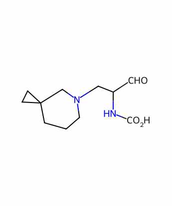 O=CC(CN1CCCC2(CC2)C1)NC(=O)O